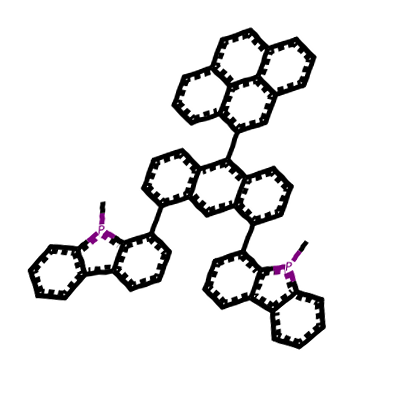 Cp1c2ccccc2c2cccc(-c3cccc4c(-c5cc6cccc7ccc8cccc5c8c76)c5cccc(-c6cccc7c8ccccc8p(C)c67)c5cc34)c21